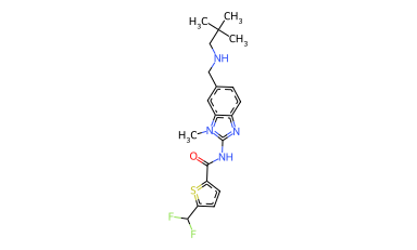 Cn1c(NC(=O)c2ccc(C(F)F)s2)nc2ccc(CNCC(C)(C)C)cc21